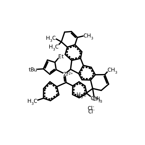 CCC1C=C(C(C)(C)C)C=[C]1[Zr+2](=[C](c1ccc(C)cc1)c1ccc(C)cc1)[CH]1c2cc3c(cc2-c2cc4c(cc21)C(C)(C)CC=C4C)C(C)=CCC3(C)C.[Cl-].[Cl-]